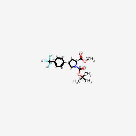 COC(=O)[C@@H]1C[C@H](c2ccc(C(F)(F)F)cc2)CN1C(=O)OC(C)(C)C